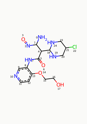 NC(N=O)C(C(=O)Nc1cnccc1OCCO)C1NCC(Cl)CN1